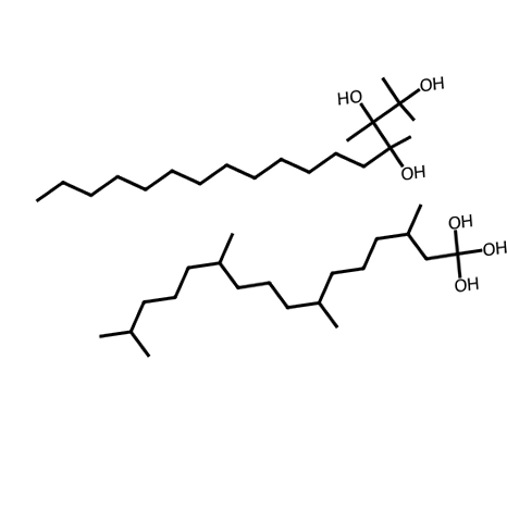 CC(C)CCCC(C)CCCC(C)CCCC(C)CC(O)(O)O.CCCCCCCCCCCCCC(C)(O)C(C)(O)C(C)(C)O